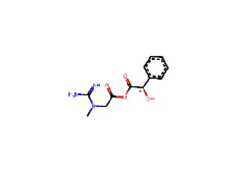 CN(CC(=O)OC(=O)[C@H](O)c1ccccc1)C(=N)N